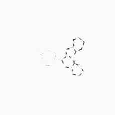 CN1CCCN(c2nc3cccnc3n3c2nc2ccccc23)CC1